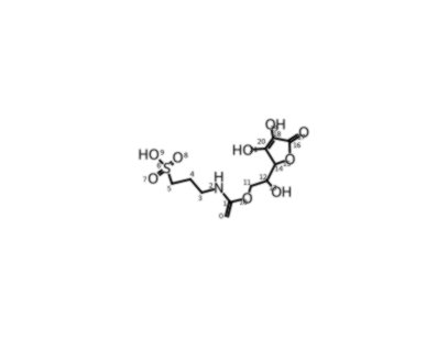 C=C(NCCCS(=O)(=O)O)OCC(O)C1OC(=O)C(O)=C1O